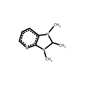 CC1N(C)c2cccnc2N1C